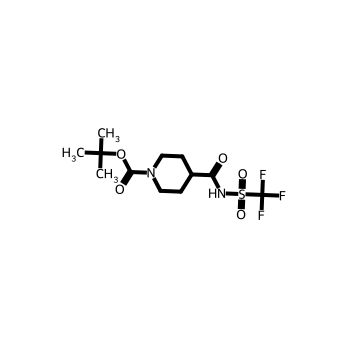 CC(C)(C)OC(=O)N1CCC(C(=O)NS(=O)(=O)C(F)(F)F)CC1